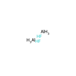 F.F.[AlH3].[AlH3]